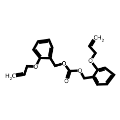 C=CCOc1ccccc1COC(=O)OCc1ccccc1OCC=C